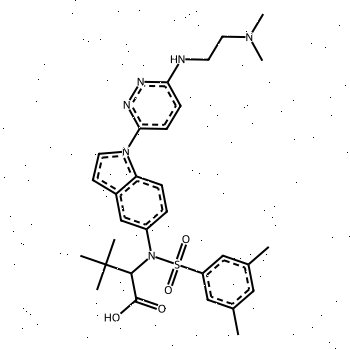 Cc1cc(C)cc(S(=O)(=O)N(c2ccc3c(ccn3-c3ccc(NCCN(C)C)nn3)c2)C(C(=O)O)C(C)(C)C)c1